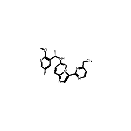 COc1ncc(F)cc1[C@@H](C)Nc1ccc2ncc(-c3nccc(CO)n3)n2n1